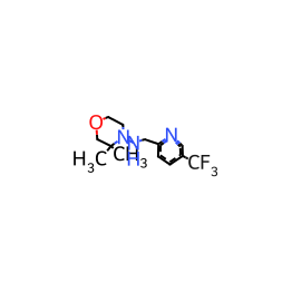 CC1(C)COCCN1NCc1ccc(C(F)(F)F)cn1